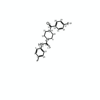 Cc1ccc(NC(=S)N2CCN(C(=O)c3ccc(F)cc3)CC2)cc1